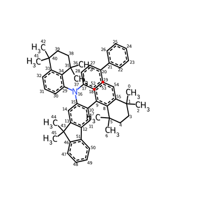 CC1(C)CCC(C)(C)c2c(-c3cc4c(cc3N(c3ccc(-c5ccccc5)cc3)c3cccc5c3C(C)(C)CCC5(C)C)C(C)(C)c3ccccc3-4)cccc21